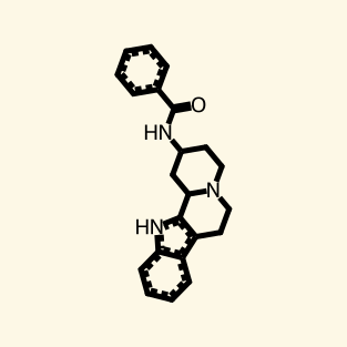 O=C(NC1CCN2CCc3c([nH]c4ccccc34)C2C1)c1ccccc1